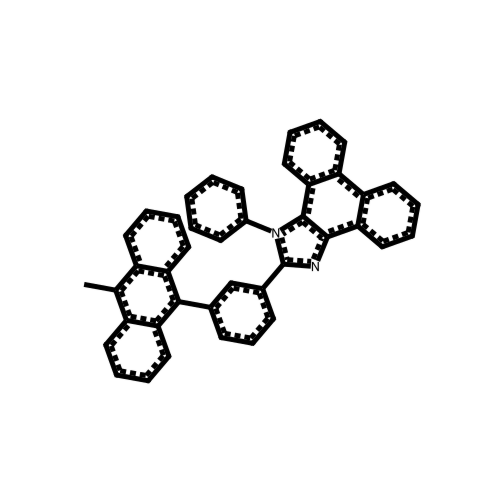 Cc1c2ccccc2c(-c2cccc(-c3nc4c5ccccc5c5ccccc5c4n3-c3ccccc3)c2)c2ccccc12